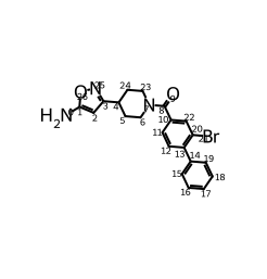 Nc1cc(C2CCN(C(=O)c3ccc(-c4ccccc4)c(Br)c3)CC2)no1